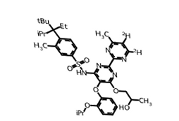 [2H]c1nc(-c2nc(NS(=O)(=O)c3ccc(C(CC)(C(C)C)C(C)(C)C)c(C)c3)c(Oc3ccccc3OC(C)C)c(OCC(C)O)n2)nc(C)c1[2H]